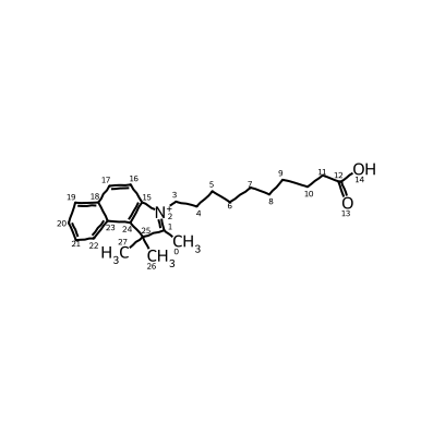 CC1=[N+](CCCCCCCCCC(=O)O)c2ccc3ccccc3c2C1(C)C